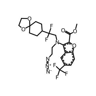 COC(=O)c1oc2ccc(C(F)(F)F)cc2c1N(CCN=[N+]=[N-])CC(F)(F)C1CCC2(CC1)OCCO2